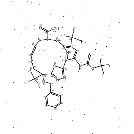 CC(C)(C)OC(=O)Nc1cc(C(F)(F)F)c2nc1-c1nnc(o1)C(OCc1ccccc1)(C(F)(F)F)CCC=CCC(C(=O)O)N2